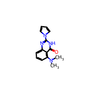 CN(C)c1cccc2nc(-n3cccc3)[nH]c(=O)c12